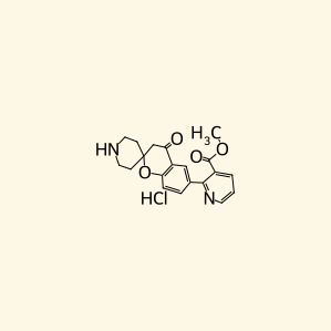 COC(=O)c1cccnc1-c1ccc2c(c1)C(=O)CC1(CCNCC1)O2.Cl